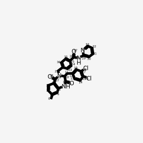 Cc1ccc2c(c1)NC(=O)C(Cc1ccc(Cl)c(Cl)c1)N(Cc1ccc(C(=O)Nc3ccccn3)cc1)C2=O